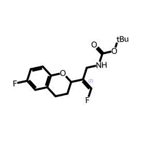 CC(C)(C)OC(=O)NC/C(=C/F)C1CCc2cc(F)ccc2O1